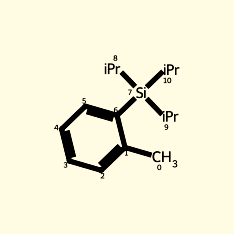 Cc1ccccc1[Si](C(C)C)(C(C)C)C(C)C